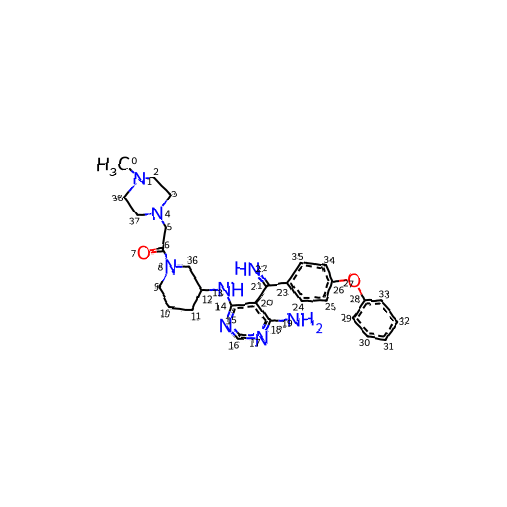 CN1CCN(CC(=O)N2CCCC(Nc3ncnc(N)c3C(=N)c3ccc(Oc4ccccc4)cc3)C2)CC1